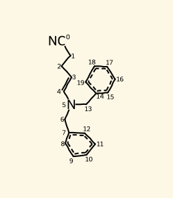 N#CCCC=CN(Cc1ccccc1)Cc1ccccc1